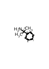 CC(C)(N)c1[c]cccc1